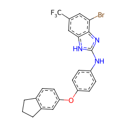 FC(F)(F)c1cc(Br)c2nc(Nc3ccc(Oc4ccc5c(c4)CCC5)cc3)[nH]c2c1